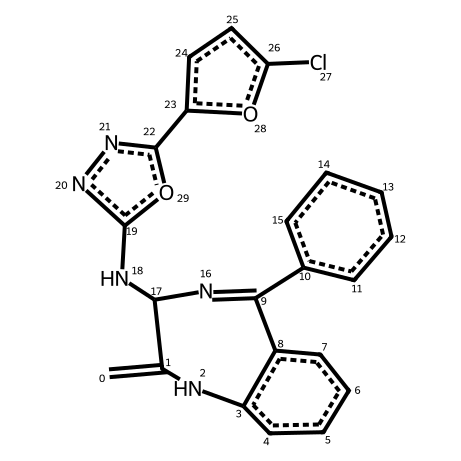 C=C1Nc2ccccc2C(c2ccccc2)=NC1Nc1nnc(-c2ccc(Cl)o2)o1